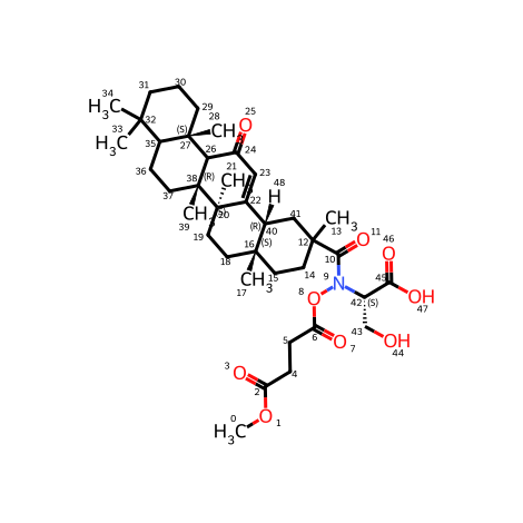 COC(=O)CCC(=O)ON(C(=O)C1(C)CC[C@]2(C)CC[C@]3(C)C(=CC(=O)C4[C@@]5(C)CCCC(C)(C)C5CC[C@]43C)[C@@H]2C1)[C@@H](CO)C(=O)O